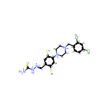 NC(=S)N/N=C/c1cc(F)c(N2CCN(Cc3ccc(Cl)cc3Cl)CC2)cc1F